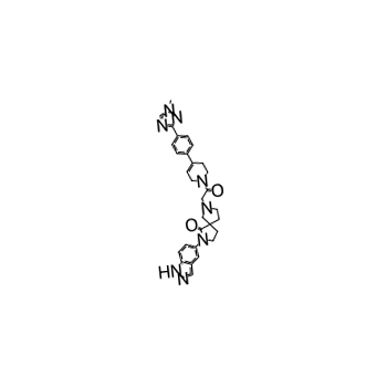 Cn1cnc(-c2ccc(C3=CCN(C(=O)CN4CCC5(CCN(c6ccc7[nH]ncc7c6)C5=O)C4)CC3)cc2)n1